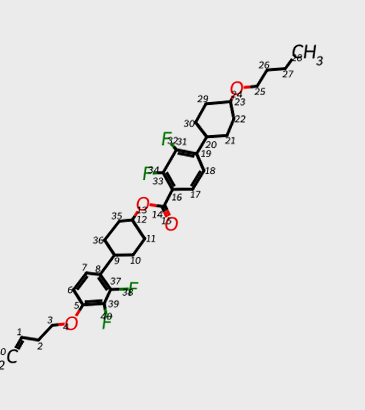 C=CCCOc1ccc(C2CCC(OC(=O)c3ccc(C4CCC(OCCCC)CC4)c(F)c3F)CC2)c(F)c1F